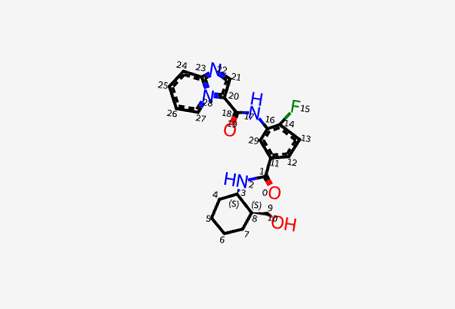 O=C(N[C@H]1CCCC[C@@H]1CO)c1ccc(F)c(NC(=O)c2cnc3ccccn23)c1